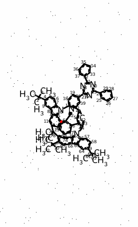 CC(C)(C)c1ccc2c(c1)c1cc3ccc1n2-c1ccc(-c2nc(-c4ccccc4)nc(-c4ccccc4)n2)cc1-c1ccc(c(-c2ccccc2C#N)c1)-n1c2ccc(C(C)(C)C)cc2c2cc(C(C)(C)C)c(cc21)C3(C)C